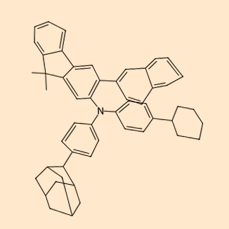 CC1(C)c2ccccc2-c2cc(-c3ccc4ccccc4c3)c(N(c3ccc(C4CCCCC4)cc3)c3ccc(C4C5CC6CC(C5)CC4C6)cc3)cc21